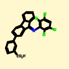 O=C(O)c1cccc(-c2ccc3c(c2)C(=Nc2c(Cl)c(Cl)cc(Cl)c2Cl)c2ccccc2-3)c1